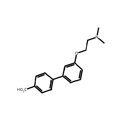 CN(C)CCOc1cccc(-c2ccc(C(=O)O)cc2)c1